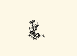 CN(Cc1cnc2nc(N)nc(N)c2n1)c1ccc(C(=O)N[C@@H](CCC(N)=O)C(=O)O)cc1